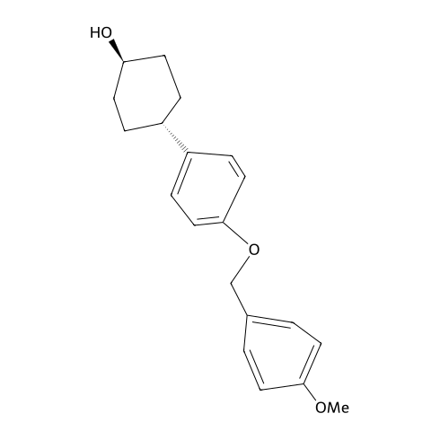 COc1ccc(COc2ccc([C@H]3CC[C@H](O)CC3)cc2)cc1